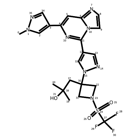 Cn1cc(-c2cc3nccn3c(-c3cnn(C4(CC(C)(C)O)CN(S(=O)(=O)C(F)(F)F)C4)c3)n2)cn1